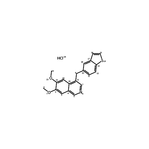 COc1cc2cncc(Cc3ccc4sccc4c3)c2cc1OC.Cl